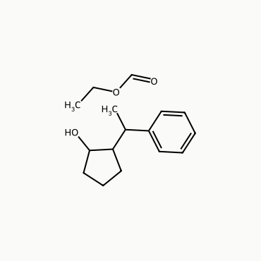 CC(c1ccccc1)C1CCCC1O.CCOC=O